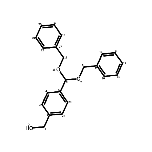 OCc1ccc(C(OCc2ccccc2)OCc2ccccc2)cc1